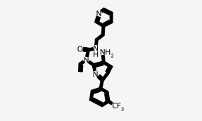 C=CN(C(=O)NCCc1cccnc1)c1nc(-c2cccc(C(F)(F)F)c2)ccc1N